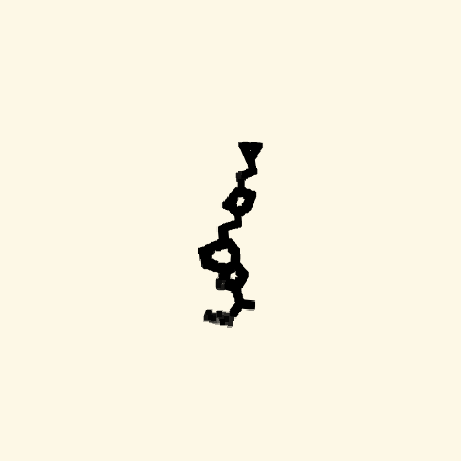 CC(=O)NC(C)c1cc2cc(CCc3ccc(OCC4CC4)cc3)ccc2o1